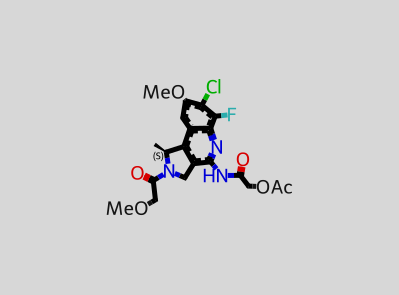 COCC(=O)N1Cc2c(NC(=O)COC(C)=O)nc3c(F)c(Cl)c(OC)cc3c2[C@@H]1C